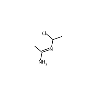 C/C(N)=N\C(C)Cl